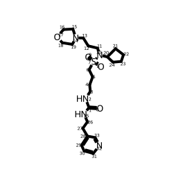 O=C(NCCCCS(=O)(=O)N(CCCN1CCOCC1)C1CCCC1)NCCc1cccnc1